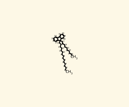 CCCCCCCCCCCCCCCCC1(CCCCCCCCCC)c2ccccc2-c2ccccc21